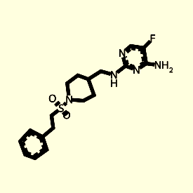 Nc1nc(NCC2CCN(S(=O)(=O)CCc3ccccc3)CC2)ncc1F